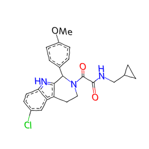 COc1ccc(C2c3[nH]c4ccc(Cl)cc4c3CCN2C(=O)C(=O)NCC2CC2)cc1